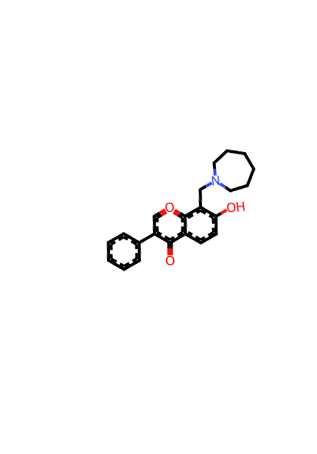 O=c1c(-c2ccccc2)coc2c(CN3CCCCCC3)c(O)ccc12